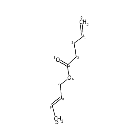 C=CCCC(=O)OCC=CC